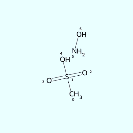 CS(=O)(=O)O.NO